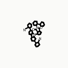 N#Cc1ccccc1-c1ccc2c3ccc(-c4ccccc4C#N)cc3n(-c3cccc4c3C(=O)N(c3ccccc3-c3ccccc3)C4=O)c2c1